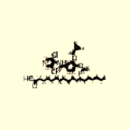 CCCCCCCCCCCCCCCCCC(=O)O.O=C(Nc1c(Cl)cncc1Cl)c1ccc(OC(F)F)c(OCC2CC2)c1